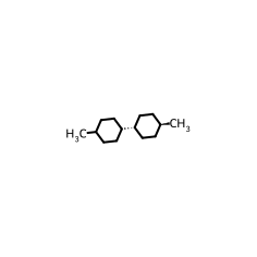 CC1CCC([C@H]2CC[C@H](C)CC2)CC1